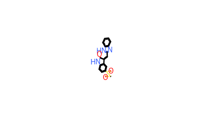 CS(=O)(=O)c1ccc2c(c1)/C(=C/c1nc3ccccc3[nH]1)C(=O)N2